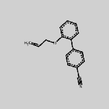 C=CCOc1ccccc1-c1ccc(C#N)cc1